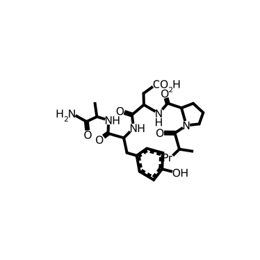 CC(NC(=O)C(Cc1ccc(O)cc1)NC(=O)C(CC(=O)O)NC(=O)C1CCCN1C(=O)C(C)C(C)C)C(N)=O